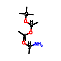 C[SiH](N)O[SiH](C)O[SiH](C)O[Si](C)(C)C